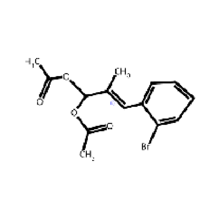 CC(=O)OC(OC(C)=O)/C(C)=C/c1ccccc1Br